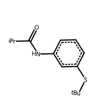 CC(C)C(=O)Nc1cccc(SC(C)(C)C)c1